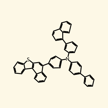 c1ccc(-c2ccc(N(c3ccc(-c4cc5sc6ccccc6c5c5ccccc45)cc3)c3cccc(-c4cccc5ccccc45)c3)cc2)cc1